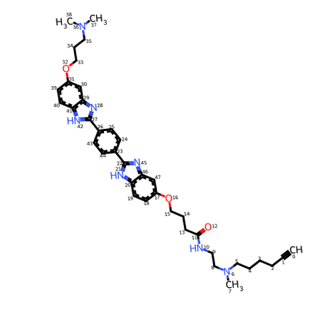 C#CCCCCN(C)CCNC(=O)CCCOc1ccc2[nH]c(-c3ccc(-c4nc5cc(OCCCN(C)C)ccc5[nH]4)cc3)nc2c1